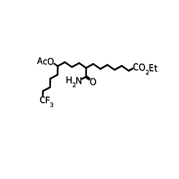 CCOC(=O)CCCCCCC(CCCC(CCCCC(F)(F)F)OC(C)=O)C(N)=O